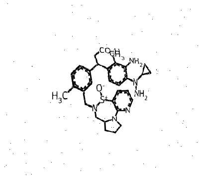 Cc1ccc(C(CC(=O)O)c2ccc(N(N)C3CC3)c(N)c2C)cc1CN1CC2CCCN2c2ncccc2[S+]1[O-]